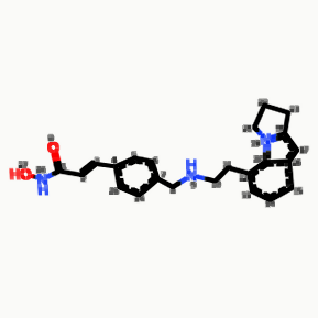 O=C(/C=C/c1ccc(CNCCc2cccc3cc4n(c23)CCC4)cc1)NO